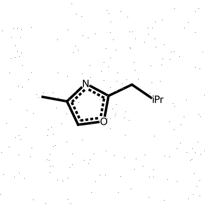 Cc1coc(CC(C)C)n1